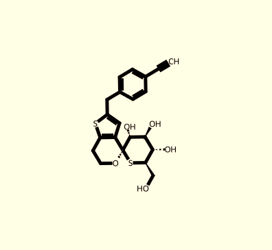 C#Cc1ccc(Cc2cc3c(s2)CCO[C@]32S[C@H](CO)[C@@H](O)[C@H](O)[C@H]2O)cc1